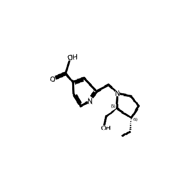 CC[C@H]1CCN(Cc2cc(C(=O)O)ccn2)[C@@H]1CO